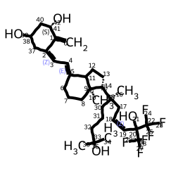 C=C1/C(=C\C=C2/CCC[C@@]3(C)C2CC[C@@H]3[C@@](C)(C/C=C\C(O)(C(F)(F)F)C(F)(F)F)CCCC(C)(C)O)CC(O)C[C@@H]1O